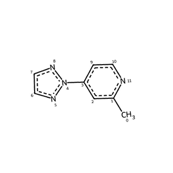 Cc1cc(-n2nccn2)ccn1